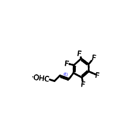 O=[C]C/C=C/c1c(F)c(F)c(F)c(F)c1F